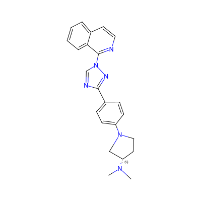 CN(C)[C@H]1CCN(c2ccc(-c3ncn(-c4nccc5ccccc45)n3)cc2)C1